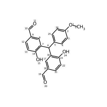 COc1ccc(C(c2cc(C=O)ccc2O)c2cc(C=O)ccc2O)cc1